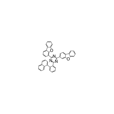 c1ccc(-c2cccc3ccccc23)c(-c2nc(-c3ccc4c(c3)oc3ccccc34)nc(-c3cccc4c3oc3ccccc34)n2)c1